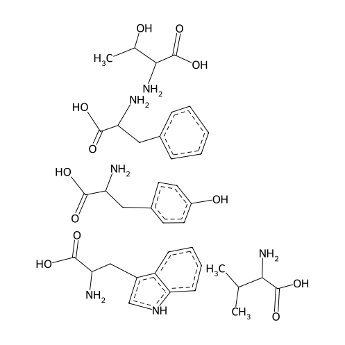 CC(C)C(N)C(=O)O.CC(O)C(N)C(=O)O.NC(Cc1c[nH]c2ccccc12)C(=O)O.NC(Cc1ccc(O)cc1)C(=O)O.NC(Cc1ccccc1)C(=O)O